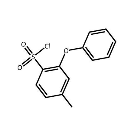 Cc1ccc(S(=O)(=O)Cl)c(Oc2ccccc2)c1